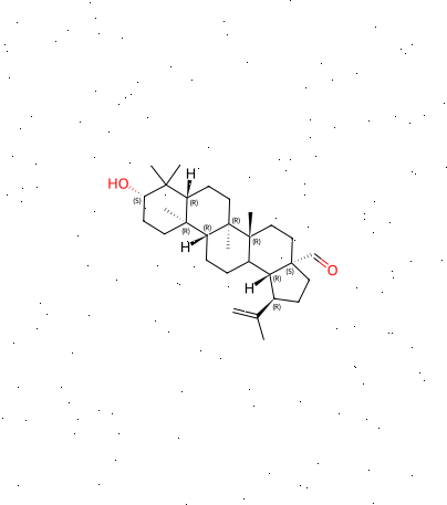 C=C(C)[C@@H]1CC[C@]2(C=O)CC[C@]3(C)C(CC[C@@H]4[C@@]5(C)CC[C@H](O)C(C)(C)[C@@H]5CC[C@]43C)[C@@H]12